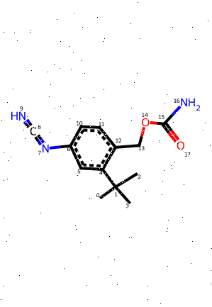 CC(C)(C)c1cc(N=C=N)ccc1COC(N)=O